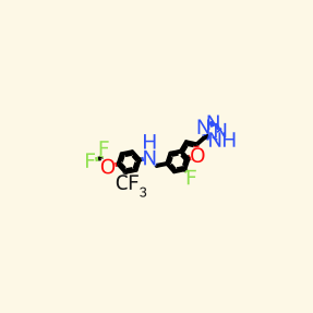 Fc1cc(CNc2ccc(OC(F)F)c(C(F)(F)F)c2)cc2cc(-c3nnn[nH]3)oc12